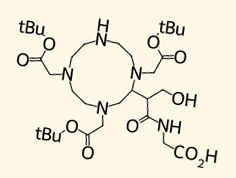 CC(C)(C)OC(=O)CN1CCNCCN(CC(=O)OC(C)(C)C)C(C(CO)C(=O)NCC(=O)O)CN(CC(=O)OC(C)(C)C)CC1